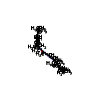 CC1=C(/C=C/C(C)=C/C=C/C(C)=C/C=C/C=C(C)/C=C/C=C(C)/C=C/C2=C(C)C(=O)[C@@H](OC(=O)CNC(=O)NOC(C)(C)C)CC2(C)C)C(C)(C)C[C@H](OC(=O)CNC(=O)NCCCC(=O)OC(C)(C)C)C1=O